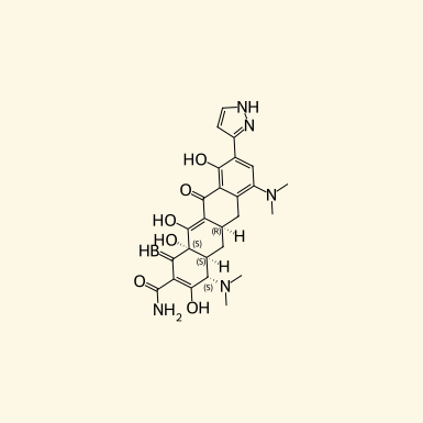 B=C1C(C(N)=O)=C(O)[C@@H](N(C)C)[C@@H]2C[C@@H]3Cc4c(N(C)C)cc(-c5cc[nH]n5)c(O)c4C(=O)C3=C(O)[C@]12O